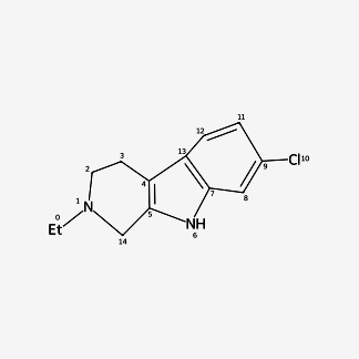 CCN1CCc2c([nH]c3cc(Cl)ccc23)C1